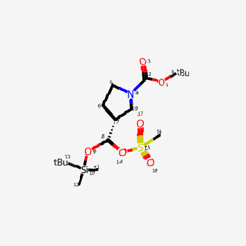 CC(C)(C)OC(=O)N1CC[C@@H](C(O[Si](C)(C)C(C)(C)C)OS(C)(=O)=O)C1